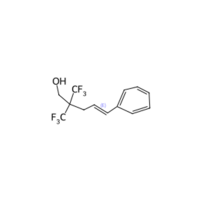 OCC(C/C=C/c1ccccc1)(C(F)(F)F)C(F)(F)F